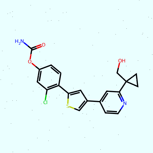 NC(=O)Oc1ccc(-c2cc(-c3ccnc(C4(CO)CC4)c3)cs2)c(Cl)c1